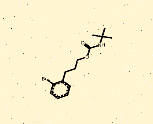 CC(C)(C)NC(=O)OCCCc1ccccc1Br